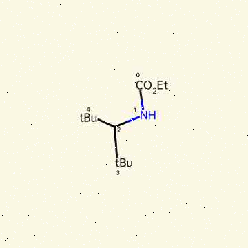 CCOC(=O)NC(C(C)(C)C)C(C)(C)C